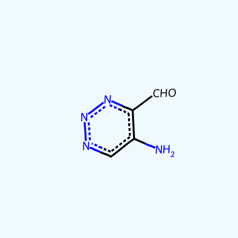 Nc1cnnnc1C=O